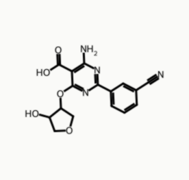 N#Cc1cccc(-c2nc(N)c(C(=O)O)c(OC3COCC3O)n2)c1